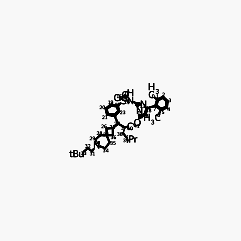 Cc1cccc(C)c1-c1cc2nc(n1)NS(=O)(=O)c1cccc(c1)C(C1CC3(CCN(CCC(C)(C)C)CC3)C1)[C@H](CC(C)C)CO2